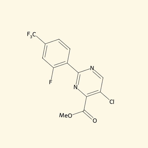 COC(=O)c1nc(-c2ccc(C(F)(F)F)cc2F)ncc1Cl